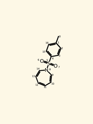 Cc1ccc(S(=O)(=O)N2C=CC=CC=C2)cc1